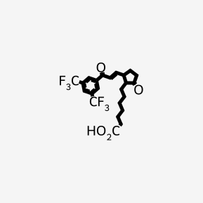 O=C(O)CCCCCCC1C(=O)CCC1/C=C/C(=O)c1cc(C(F)(F)F)cc(C(F)(F)F)c1